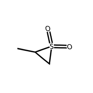 CC1CS1(=O)=O